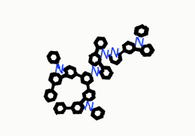 c1ccc(-c2ccc3c(c2)c2cc(-c4cc(-c5ccc6c(c5)c5cc(-c7ccccc7)ccc5n6-c5ccccc5)cc(-n5c6ccccc6c6c5ccc5c7ccccc7n(-c7cccc(-c8ccc9c(c8)c8ccccc8n9-c8ccccc8)n7)c56)c4)ccc2n3-c2ccccc2)cc1